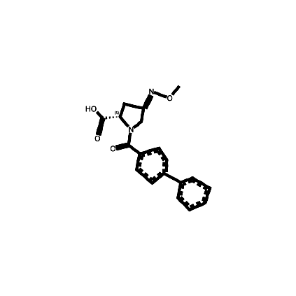 CON=C1C[C@@H](C(=O)O)N(C(=O)c2ccc(-c3ccccc3)cc2)C1